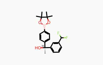 CC1(C)OB(c2ccc([C@](C)(O)c3cccc(C(F)F)c3)cc2)OC1(C)C